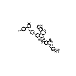 CC1(C)CCC(CN2CCN(c3ccc(C(=O)NS(=O)(=O)c4ccc(NCC5CC[PH](O)(O)CC5)c([N+](=O)[O-])c4)c(N4CCCOc5nc6[nH]ccc6cc54)c3)CC2)=C(c2ccc(Cl)cc2)C1